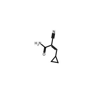 N#C/C(=C/C1CC1)C(N)=O